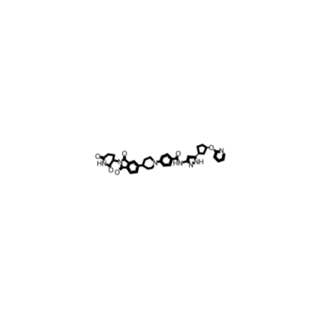 O=C1CCC(N2C(=O)c3ccc(C4CCN(c5ccc(C(=O)Nc6cc([C@H]7CC[C@@H](Oc8ccccn8)C7)[nH]n6)cc5)CC4)cc3C2=O)C(=O)N1